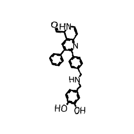 O=CC1NC=Cc2nc(-c3ccc(CNCc4ccc(O)c(O)c4)cc3)c(-c3ccccc3)cc21